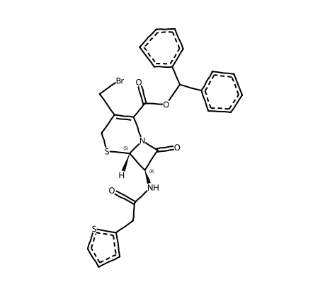 O=C(Cc1cccs1)N[C@@H]1C(=O)N2C(C(=O)OC(c3ccccc3)c3ccccc3)=C(CBr)CS[C@@H]12